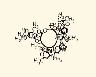 CC[C@H]1OC(=O)[C@H](C)[C@@H](O[C@H]2C[C@@](C)(OC)[C@@H](O)[C@H](C)O2)[C@H](C)[C@@H](O[C@@H]2O[C@H](C)C[C@H](N(C)CCc3cn([C@H](CF)[C@H](OC)c4ccc(S(=O)(=O)C(C)C)cc4)nn3)[C@H]2O)[C@](C)(O)C[C@@H](C)CN(C)[C@H](C)[C@@H](O)[C@]1(C)O